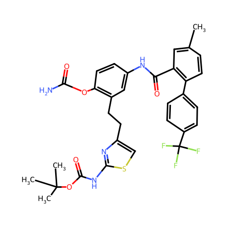 Cc1ccc(-c2ccc(C(F)(F)F)cc2)c(C(=O)Nc2ccc(OC(N)=O)c(CCc3csc(NC(=O)OC(C)(C)C)n3)c2)c1